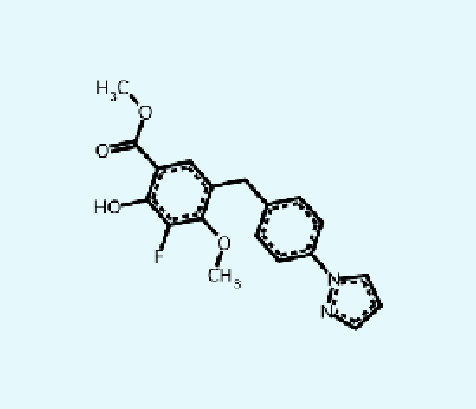 COC(=O)c1cc(Cc2ccc(-n3cccn3)cc2)c(OC)c(F)c1O